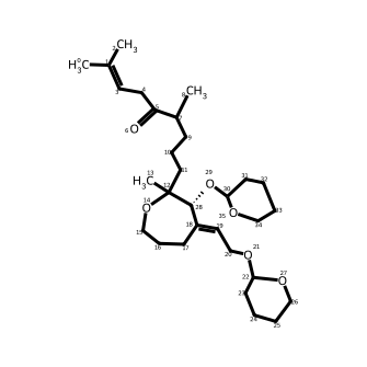 CC(C)=CCC(=O)C(C)CCCC1(C)OCCCC(=CCOC2CCCCO2)[C@H]1OC1CCCCO1